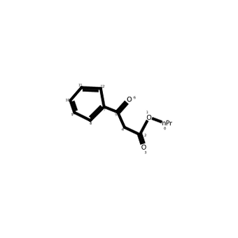 [CH2]CCOC(=O)CC(=O)c1ccccc1